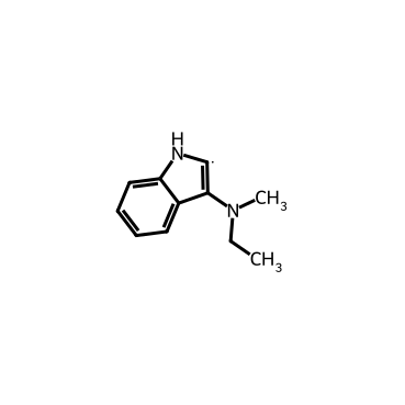 CCN(C)c1[c][nH]c2ccccc12